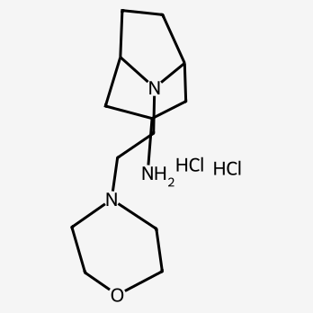 Cl.Cl.NC1CC2CCC(C1)N2CCN1CCOCC1